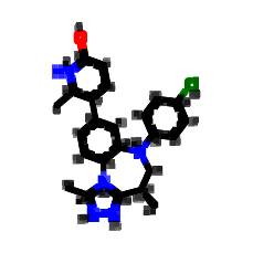 Cc1[nH]c(=O)ccc1-c1ccc2c(c1)N(c1ccc(Cl)cc1)C[C@@H](C)c1nnc(C)n1-2